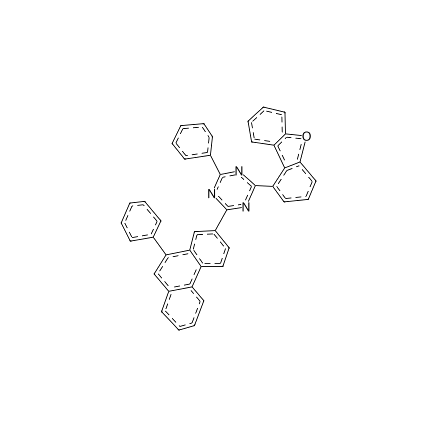 c1ccc(-c2nc(-c3ccc4c(c3)c(-c3ccccc3)cc3ccccc34)nc(-c3cccc4oc5ccccc5c34)n2)cc1